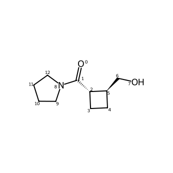 O=C([C@H]1CC[C@@H]1CO)N1CCCC1